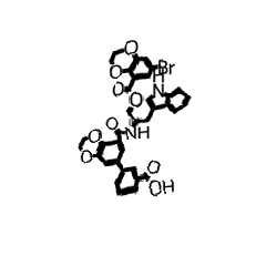 O=C(O)c1cccc(-c2cc3c(c(C(=O)N[C@@H](COC(=O)c4cc(Br)cc5c4OCCO5)Cc4c[nH]c5ccccc45)c2)OCCO3)c1